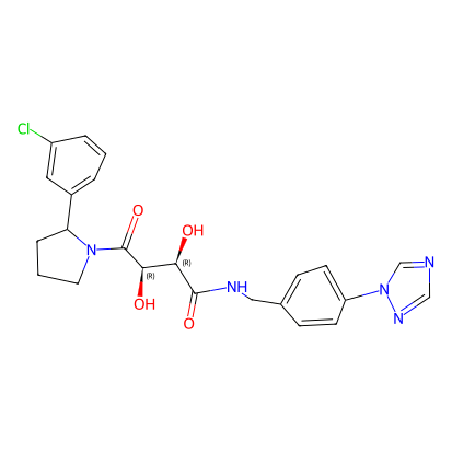 O=C(NCc1ccc(-n2cncn2)cc1)[C@H](O)[C@@H](O)C(=O)N1CCCC1c1cccc(Cl)c1